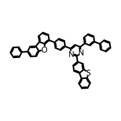 c1ccc(-c2cccc(-c3cc(-c4ccc(-c5cccc6c5oc5ccc(-c7ccccc7)cc56)cc4)nc(-c4ccc5c(c4)sc4ccccc45)n3)c2)cc1